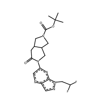 CC(C)(C)OC(=O)N1CC2CC(=O)N(c3cnc4cnn(CC(F)F)c4n3)CC2C1